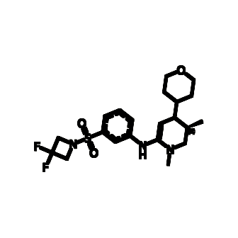 C[C@H]1CN(C)C(Nc2cccc(S(=O)(=O)N3CC(F)(F)C3)c2)=CC1C1CCOCC1